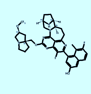 Cc1c(F)ccc2cc(O)cc(-c3nc4c5c(nc(OC[C@@]67CCCN6C[C@@H](OC(F)(F)F)C7)nc5c3F)N3C[C@H]5CC[C@H](N5)[C@H]3CC4)c12